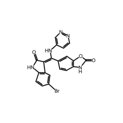 O=C1Nc2ccc(Br)cc2/C1=C(/Nc1ccnnc1)c1ccc2[nH]c(=O)oc2c1